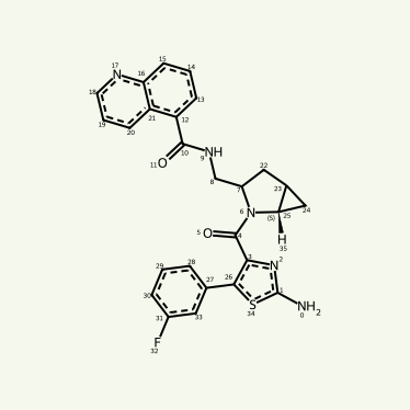 Nc1nc(C(=O)N2C(CNC(=O)c3cccc4ncccc34)CC3C[C@@H]32)c(-c2cccc(F)c2)s1